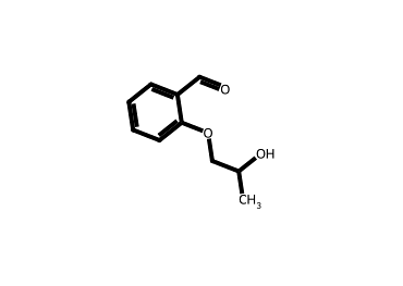 CC(O)COc1ccccc1C=O